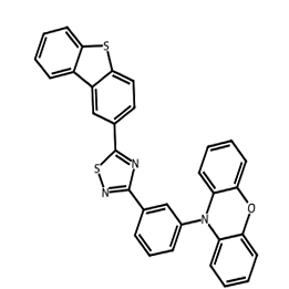 c1cc(-c2nsc(-c3ccc4sc5ccccc5c4c3)n2)cc(N2c3ccccc3Oc3ccccc32)c1